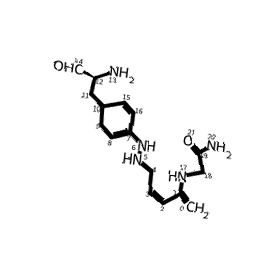 C=C(/C=C\CNNC1=CCC(C[C@H](N)C=O)C=C1)NCC(N)=O